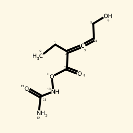 CCC(=C=CCO)C(=O)ONC(N)=O